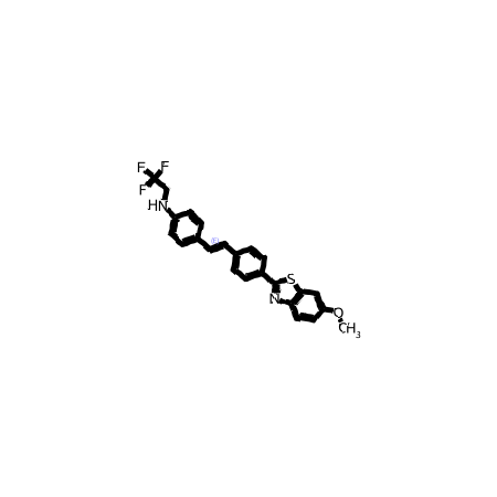 COc1ccc2nc(-c3ccc(/C=C/c4ccc(NCC(F)(F)F)cc4)cc3)sc2c1